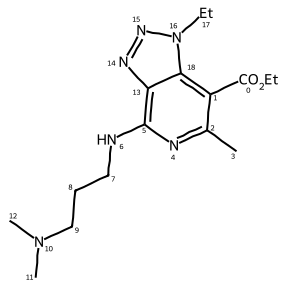 CCOC(=O)c1c(C)nc(NCCCN(C)C)c2nnn(CC)c12